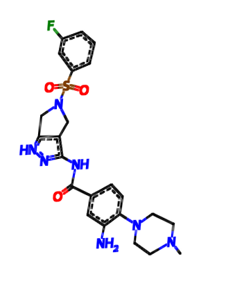 CN1CCN(c2ccc(C(=O)Nc3n[nH]c4c3CN(S(=O)(=O)c3cccc(F)c3)C4)cc2N)CC1